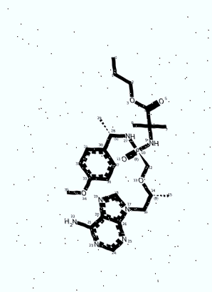 CCCOC(=O)C(C)(C)N[P@@](=O)(CO[C@H](C)Cn1cnc2c(N)ncnc21)N[C@@H](C)c1ccc(OC)cc1